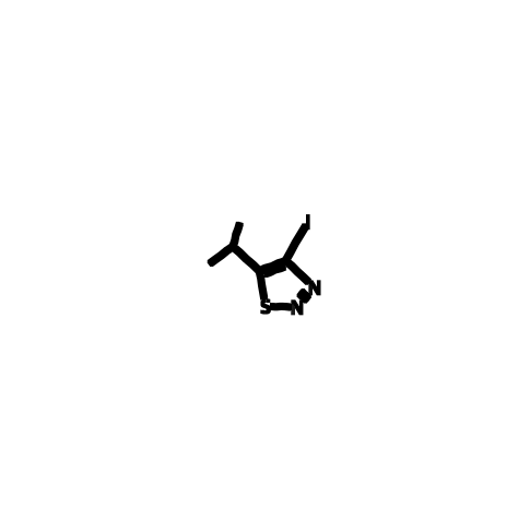 CC(C)c1snnc1I